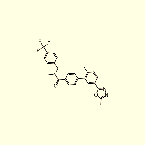 Cc1nnc(-c2ccc(C)c(-c3ccc(C(=O)N(C)Cc4ccc(C(F)(F)F)cc4)cc3)c2)o1